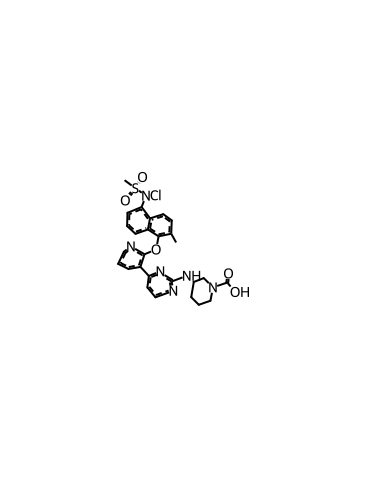 Cc1ccc2c(N(Cl)S(C)(=O)=O)cccc2c1Oc1ncccc1-c1ccnc(NC2CCCN(C(=O)O)C2)n1